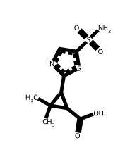 CC1(C)C(C(=O)O)C1c1ncc(S(N)(=O)=O)s1